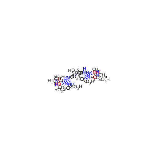 CC(O)CN(CCC(=O)NC(C)(C)CS(=O)(=O)O)c1nc(Nc2ccc(/C=C/c3ccc(Nc4nc(Nc5cc(S(=O)(=O)O)ccc5S(=O)(=O)O)nc(N(CCC(=O)NC(C)(C)CS(=O)(=O)O)CC(C)O)n4)cc3S(=O)(=O)O)c(S(=O)(=O)O)c2)nc(Nc2cc(S(=O)(=O)O)ccc2S(=O)(=O)O)n1